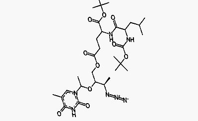 Cc1cn(C(C)OC(COC(=O)CCC(NC(=O)C(CC(C)C)NC(=O)OC(C)(C)C)C(=O)OC(C)(C)C)[C@@H](C)N=[N+]=[N-])c(=O)[nH]c1=O